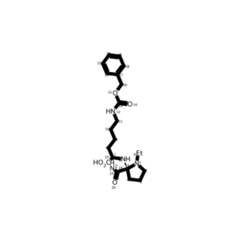 CCN1CCC[C@@]1(NC(CCCCNC(=O)OCc1ccccc1)C(=O)O)C(N)=O